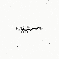 NC(C=O)(C=O)CCCCCCBr